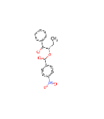 CCC(OC(=O)c1ccc([N+](=O)[O-])cc1)C(=O)c1ccccc1